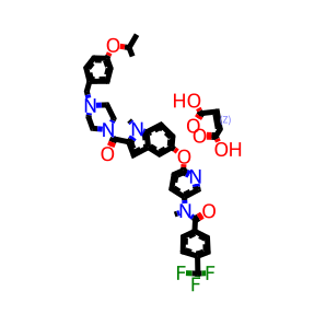 CC(C)Oc1ccc(CN2CCN(C(=O)c3cc4cc(Oc5ccc(N(C)C(=O)c6ccc(C(F)(F)F)cc6)cn5)ccc4n3C)CC2)cc1.O=C(O)/C=C\C(=O)O